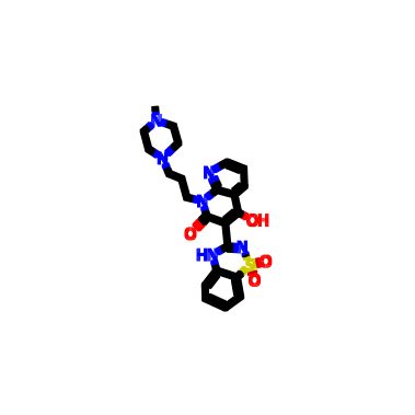 CN1CCN(CCCn2c(=O)c(C3=NS(=O)(=O)c4ccccc4N3)c(O)c3cccnc32)CC1